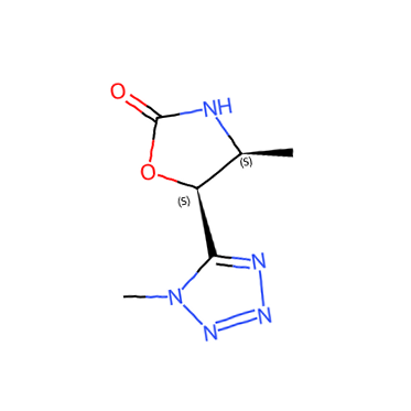 C[C@@H]1NC(=O)O[C@@H]1c1nnnn1C